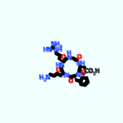 N=C(N)NCCC[C@@H]1NC(=O)[C@H](CCCCN)NC(=O)[C@@H](CC2=CC=CCC2)NC(=O)[C@H](CC(=O)O)NC(=O)CNC1=O